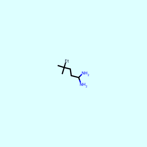 CCC(C)(C)CCC(N)N